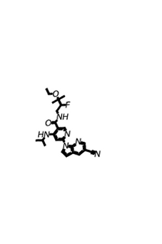 CCOC(C)(C)C(F)CNC(=O)c1cnc(-n2ccc3cc(C#N)cnc32)cc1NC(C)C